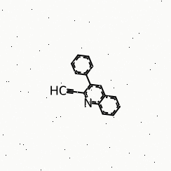 C#Cc1nc2ccccc2cc1-c1ccccc1